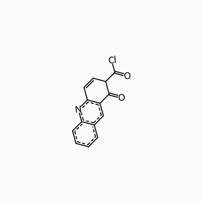 O=C(Cl)C1C=Cc2nc3ccccc3cc2C1=O